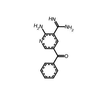 N=C(N)c1cc(C(=O)c2ccccc2)cnc1N